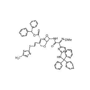 CON=C(C(=O)NC1ON2C(C(=O)OC(c3ccccc3)c3ccccc3)=C(C=CSc3nnc(C)s3)COC12)c1csc(NC(c2ccccc2)(c2ccccc2)c2ccccc2)n1